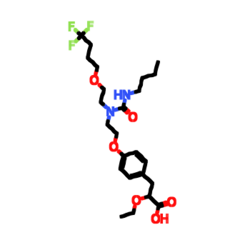 CCCCNC(=O)N(CCOCCCC(F)(F)F)CCOc1ccc(CC(OCC)C(=O)O)cc1